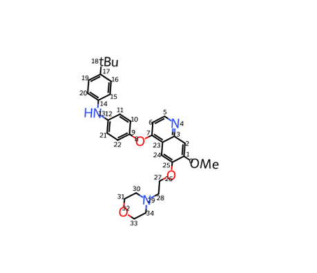 COc1cc2nccc(Oc3ccc(Nc4ccc(C(C)(C)C)cc4)cc3)c2cc1OCCN1CCOCC1